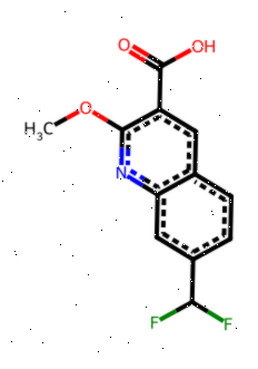 COc1nc2cc(C(F)F)ccc2cc1C(=O)O